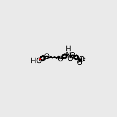 O=C(Nc1ccc(OCCCCCCOc2ccc(O)cc2)cc1)Oc1ccc([N+](=O)[O-])cc1